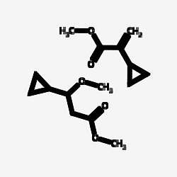 C=C(C(=O)OC)C1CC1.COC(=O)CC(OC)C1CC1